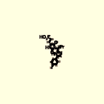 CC(C)C(c1ncc(-c2ccc(I)cc2)[nH]1)N1C(=O)N[C@H](CCC(=O)O)C1=O